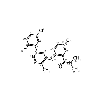 Cc1cnc(-c2cc(Cl)ccc2F)cc1Nc1cc[n+]([O-])cc1C(=O)N(C)C